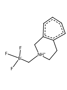 F[B-](F)(F)C[NH+]1CCc2ccccc2C1